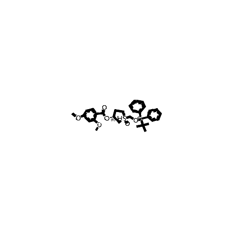 COc1ccc(C(=O)O[C@@H]2CC[SH](=O)(CO[Si](c3ccccc3)(c3ccccc3)C(C)(C)C)C2)c(OC)c1